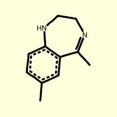 CC1=NCCNc2ccc(C)cc21